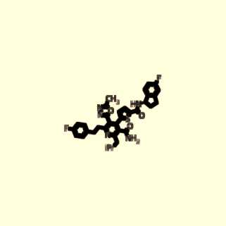 Cc1nnc(-c2c(CCc3ccc(F)cc3)nc(CC(C)C)c(C(N)=O)c2-c2ccc(C(=O)N[C@@H]3CCc4cc(F)ccc43)s2)o1